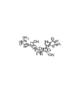 CC(NC[C@H]1O[C@@H](n2cnc3c(=O)[nH]c(N)nc32)C[C@@H]1O)(N[C@H]1C[C@H](n2cnc3c(=O)[nH]c(N)nc32)O[C@@H]1CO)C(F)(F)F